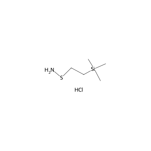 C[Si](C)(C)CCSN.Cl